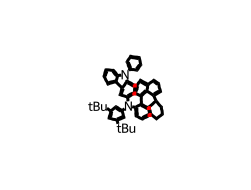 CC(C)(C)c1cc(N(c2ccc3c(c2)c2ccccc2n3-c2ccccc2)c2ccccc2-c2cccc3cccc(C4CCCCC4)c23)cc(C(C)(C)C)c1